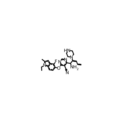 C=C/C=C(\C(N)c1ncnc(Oc2ccc3c(cc(C)n3CC)c2F)c1C#N)N1CCNCC1